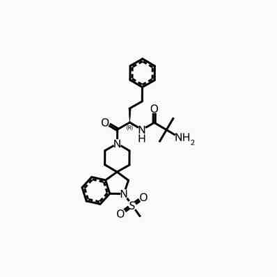 CC(C)(N)C(=O)N[C@H](CCc1ccccc1)C(=O)N1CCC2(CC1)CN(S(C)(=O)=O)c1ccccc12